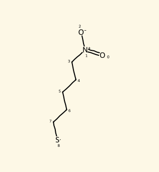 O=[N+]([O-])CCCCC[S]